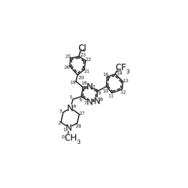 CN1CCN(Cc2nnc(-c3cccc(C(F)(F)F)c3)nc2Cc2ccc(Cl)cc2)CC1